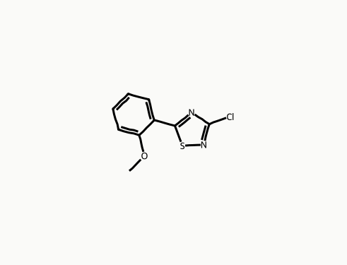 COc1ccccc1-c1nc(Cl)ns1